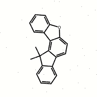 CC1(C)c2ccccc2-c2ccc3oc4ccccc4c3c21